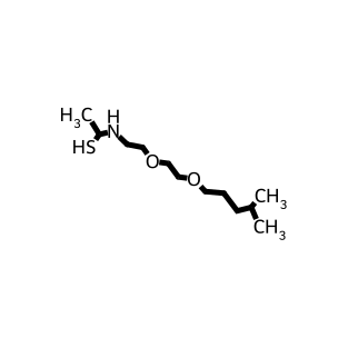 CC(C)CCCOCCOCCNC(C)S